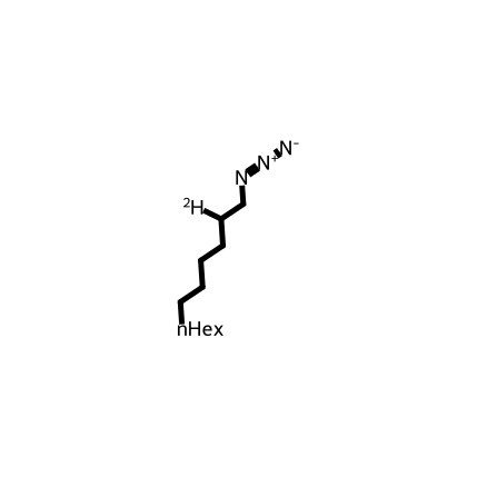 [2H]C(CCCCCCCCCC)CN=[N+]=[N-]